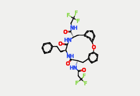 O=C(CC(F)(F)F)N[C@H]1Cc2cccc(c2)Oc2cccc(c2)C[C@@H](C(=O)NCC(F)(F)F)NC(=O)[C@H](CCc2ccccc2)NC1=O